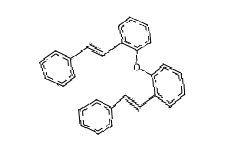 C(=C\c1ccccc1Oc1ccccc1/C=C/c1ccccc1)/c1ccccc1